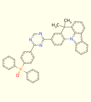 CC1(C)c2cc(-c3ncnc(-c4ccc(P(=O)(c5ccccc5)c5ccccc5)cc4)n3)ccc2-n2c3ccccc3c3cccc1c32